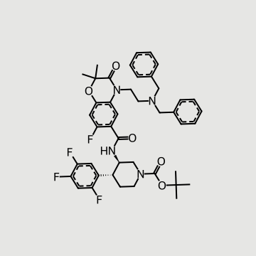 CC(C)(C)OC(=O)N1CC[C@H](c2cc(F)c(F)cc2F)[C@@H](NC(=O)c2cc3c(cc2F)OC(C)(C)C(=O)N3CCN(Cc2ccccc2)Cc2ccccc2)C1